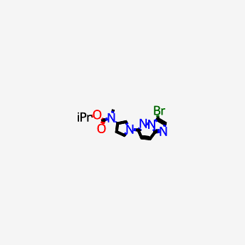 CC(C)OC(=O)N(C)[C@H]1CCN(c2ccc3ncc(Br)n3n2)C1